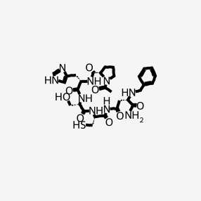 CC(=O)N1CCC[C@H]1C(=O)N[C@@H](Cc1c[nH]cn1)C(=O)N[C@@H](CO)C(=O)N[C@@H](CS)C(=O)NC(=O)C[C@H](NCc1ccccc1)C(N)=O